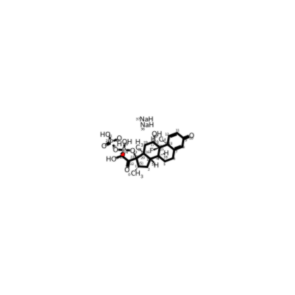 C[C@H]1C[C@H]2[C@@H]3CCC4=CC(=O)C=C[C@]4(C)[C@@]3(F)[C@@H](O)C[C@]2(C)[C@@]1(OP(=O)(O)OP(=O)(O)O)C(=O)CO.[NaH].[NaH]